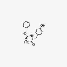 COC(=O)N[C@H](Cc1ccc(O)cc1)C(=O)O.c1ccccc1